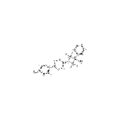 CC1(C)C(N2CCN(c3ccc(Br)cn3)CC2)C(C)(C)C1(O)c1ccccc1